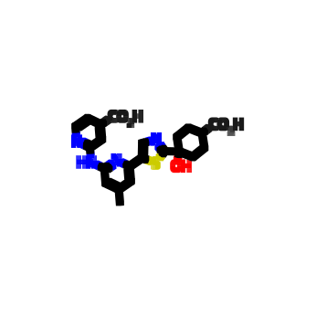 Cc1cc(Nc2cc(C(=O)O)ccn2)nc(-c2cnc(C3(O)CCC(C(=O)O)CC3)s2)c1